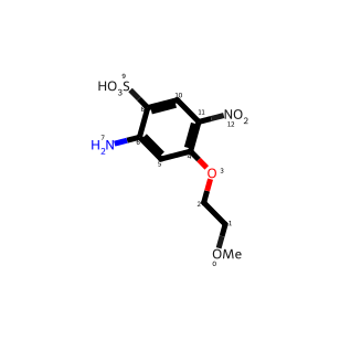 COCCOc1cc(N)c(S(=O)(=O)O)cc1[N+](=O)[O-]